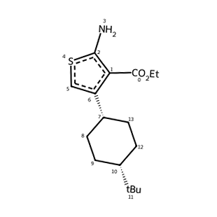 CCOC(=O)c1c(N)scc1[C@H]1CC[C@@H](C(C)(C)C)CC1